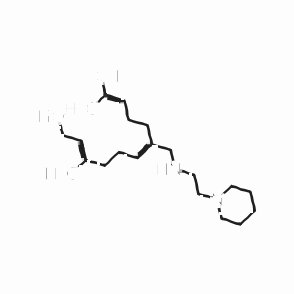 CC(C)=CCCC(=CCCC(C)=CCO)CNCCN1CCCCC1